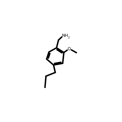 CCCc1ccc(CN)c(OC)c1